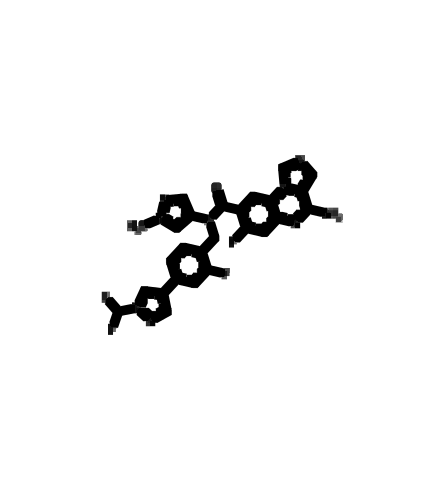 Cn1cc(N(Cc2ccc(-c3cnn(C(F)F)c3)cc2F)C(=O)c2cc3c(cc2F)nc(N)c2cncn23)cn1